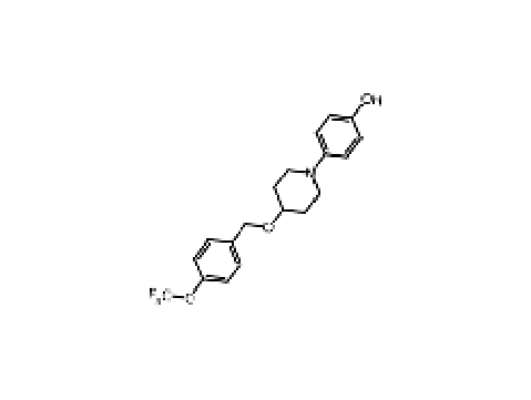 Oc1ccc(N2CCC(OCc3ccc(OC(F)(F)F)cc3)CC2)cc1